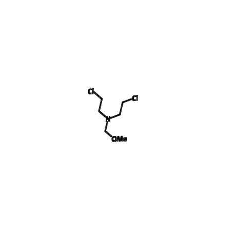 COCN(CCCl)CCCl